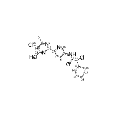 Cc1nc(-c2ccc(NC(=O)C(Cl)c3ccccc3)cn2)nc(O)c1Cl